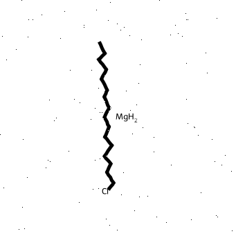 CCCCCCCCCCCCCCCCCl.[MgH2]